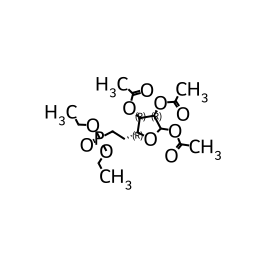 CCOP(=O)(CC[C@H]1OC(OC(C)=O)[C@H](OC(C)=O)[C@@H]1OC(C)=O)OCC